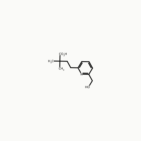 CC(C)(CCc1cccc(CO)n1)C(=O)O